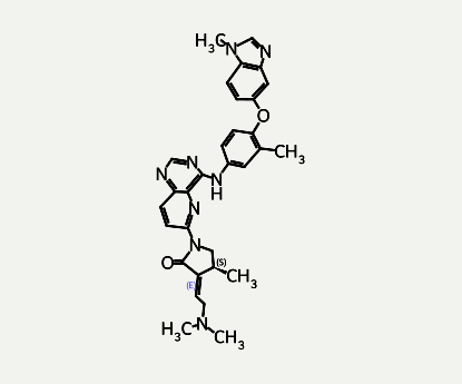 Cc1cc(Nc2ncnc3ccc(N4C[C@@H](C)/C(=C\CN(C)C)C4=O)nc23)ccc1Oc1ccc2c(c1)ncn2C